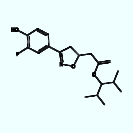 C=C(CC1CC(c2ccc(O)c(F)c2)=NO1)OC(C(C)C)C(C)C